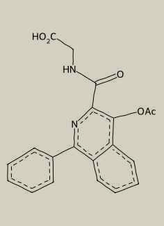 CC(=O)Oc1c(C(=O)NCC(=O)O)nc(-c2ccccc2)c2ccccc12